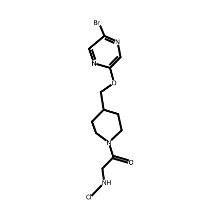 O=C(CNCl)N1CCC(COc2cnc(Br)cn2)CC1